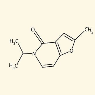 Cc1cc2c(=O)n(C(C)C)ccc2o1